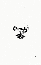 Cc1c(Cl)cc[n+](N)c1C#CCOC1CCCCO1.Cc1cc(C)c(S(=O)(=O)[O-])c(C)c1